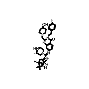 C[C@H]1[C@@H](NC(=Nc2ccc3c(=O)n(CCc4ccc(F)cc4)c(CN4CCC(O)CC4)nc3c2)N2CCN[C@@H](C)C2)C[C@@H]2C[C@@H]1C2(C)C